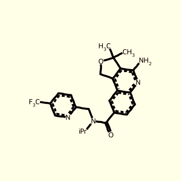 CC(C)N(Cc1ccc(C(F)(F)F)cn1)C(=O)c1ccc2nc(N)c3c(c2c1)COC3(C)C